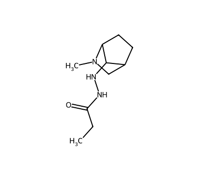 CCC(=O)NNC1C2CCC1N(C)C2